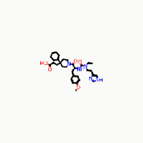 CCN(CCc1c[nH]cn1)C(=O)NC(Cc1ccc(OC)cc1)C(=O)N1CCC(CCC(=O)O)(C2CCCCC2)CC1